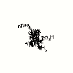 CCCCCCCCCCCCCCCC(=O)N[C@@H](Cc1c[nH]cn1)C(=O)N[C@@H](Cc1ccccc1)C(=O)N[C@@H](CCCNC(=N)N)C(=O)N[C@@H](CCCCN)C(=O)N[C@H](C)CCC(=O)O